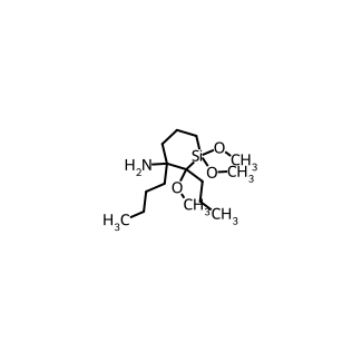 CCCCC1(N)CCC[Si](OC)(OC)C1(CCC)OC